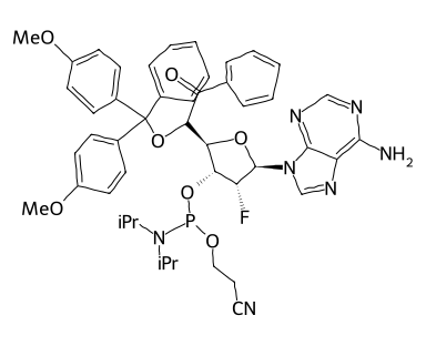 COc1ccc(C(OC(C(=O)c2ccccc2)[C@H]2O[C@@H](n3cnc4c(N)ncnc43)[C@H](F)[C@@H]2OP(OCCC#N)N(C(C)C)C(C)C)(c2ccccc2)c2ccc(OC)cc2)cc1